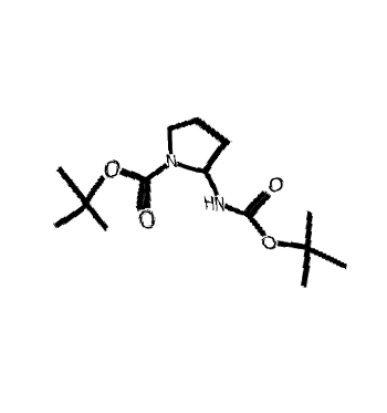 CC(C)(C)OC(=O)NC1CCCN1C(=O)OC(C)(C)C